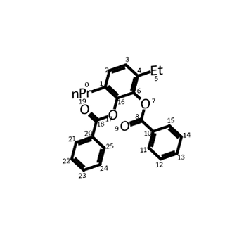 CCCc1ccc(CC)c(OC(=O)c2ccccc2)c1OC(=O)c1ccccc1